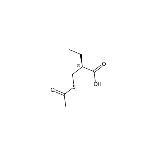 CC[C@H](CSC(C)=O)C(=O)O